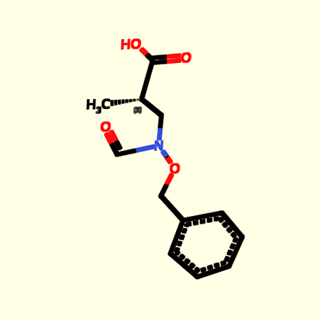 C[C@@H](CN(C=O)OCc1ccccc1)C(=O)O